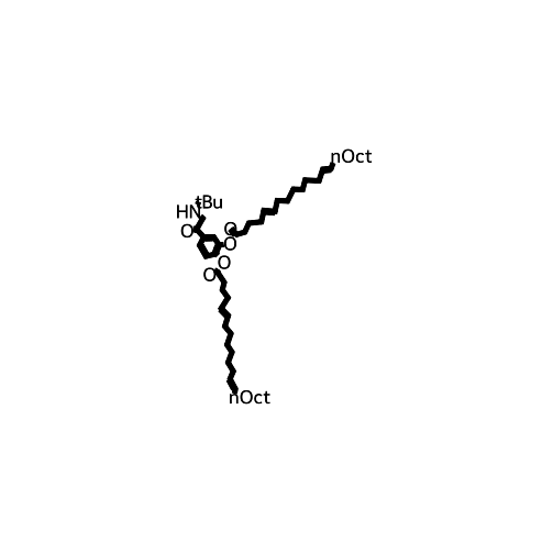 CCCCCCCCC=CCCCCCCC=CCCCC(=O)Oc1ccc(C(=O)CNC(C)(C)C)cc1OC(=O)CCCC=CCCCCCCC=CCCCCCCCC